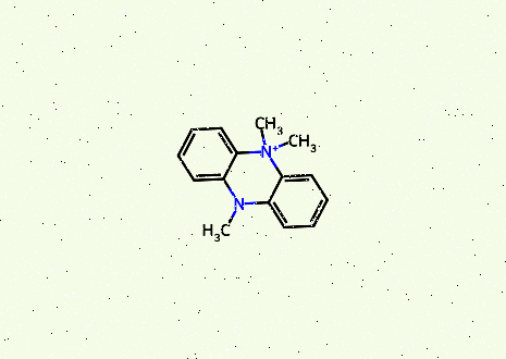 CN1c2ccccc2[N+](C)(C)c2ccccc21